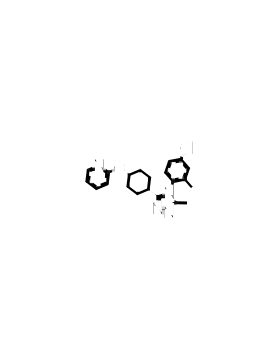 Cc1cc(Cl)ccc1-n1c(C)nnc1[C@H]1CC[C@H](Oc2ccccn2)CC1